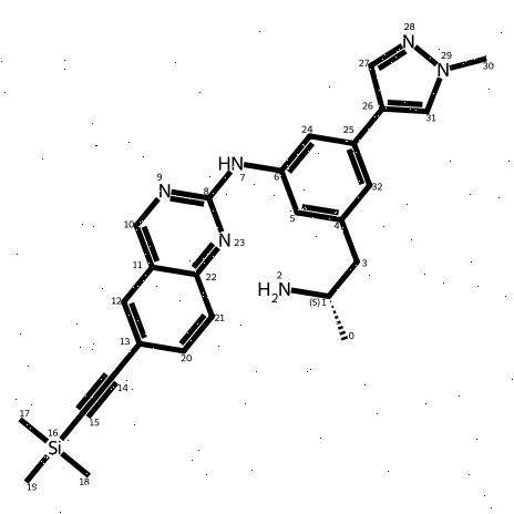 C[C@H](N)Cc1cc(Nc2ncc3cc(C#C[Si](C)(C)C)ccc3n2)cc(-c2cnn(C)c2)c1